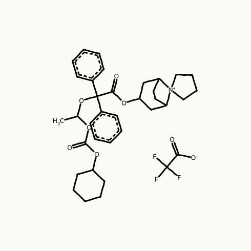 CC(OC(=O)OC1CCCCC1)OC(C(=O)OC1CC2CCC(C1)[N+]21CCCC1)(c1ccccc1)c1ccccc1.O=C([O-])C(F)(F)F